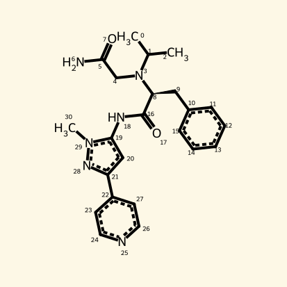 CC(C)N(CC(N)=O)[C@@H](Cc1ccccc1)C(=O)Nc1cc(-c2ccncc2)nn1C